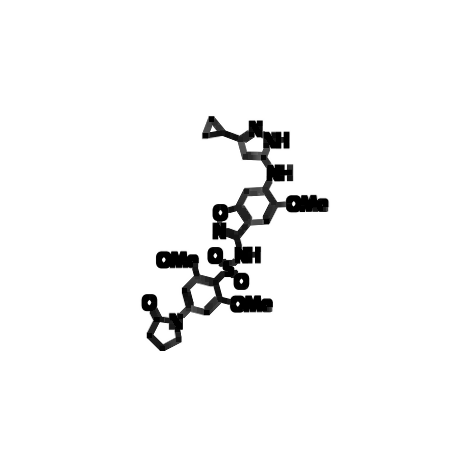 COc1cc2c(NS(=O)(=O)c3c(OC)cc(N4CCCC4=O)cc3OC)noc2cc1Nc1cc(C2CC2)n[nH]1